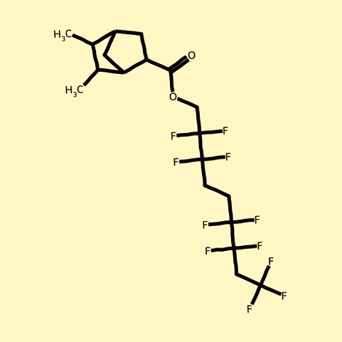 CC1C2CC(C(=O)OCC(F)(F)C(F)(F)CCC(F)(F)C(F)(F)CC(F)(F)F)C(C2)C1C